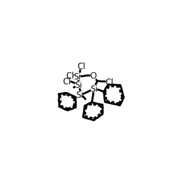 C[Si]1(Cl)[Si](Cl)(Cl)OC(Cl)[Si](c2ccccc2)(c2ccccc2)[Si]1(C)c1ccccc1